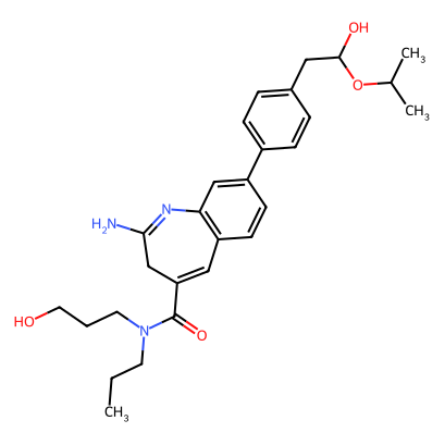 CCCN(CCCO)C(=O)C1=Cc2ccc(-c3ccc(CC(O)OC(C)C)cc3)cc2N=C(N)C1